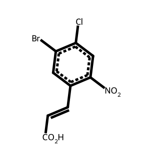 O=C(O)/C=C/c1cc(Br)c(Cl)cc1[N+](=O)[O-]